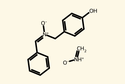 C=[NH+][O-].[O-]/[N+](=C/c1ccccc1)Cc1ccc(O)cc1